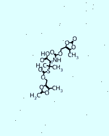 C=C1OC(C)=C(COC(=O)SC(C)(C)[C@@H](NC(=O)OCc2oc(=O)oc2C)C(=O)O)O1